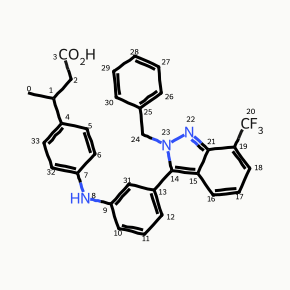 CC(CC(=O)O)c1ccc(Nc2cccc(-c3c4cccc(C(F)(F)F)c4nn3Cc3ccccc3)c2)cc1